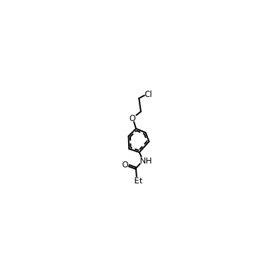 CCC(=O)Nc1ccc(OCCCl)cc1